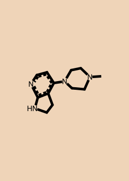 CN1CCN(c2ccnc3c2CCN3)CC1